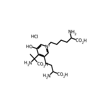 CC(N)(C(=O)O)c1c(O)c[n+](CCCCC(N)C(=O)O)cc1CCC(N)C(=O)O.Cl